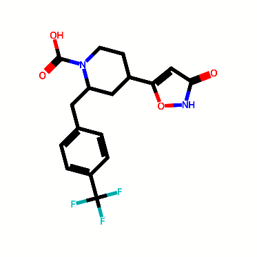 O=C(O)N1CCC(c2cc(=O)[nH]o2)CC1Cc1ccc(C(F)(F)F)cc1